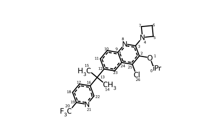 CC(C)Oc1c(N2CCC2)nc2ccc(C(C)(C)c3ccc(C(F)(F)F)nc3)cc2c1Cl